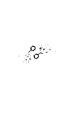 CCC(C)(Oc1ccc(CCN(CP(=O)(OC)OC)CP(=O)(OC)OC)cc1)[PH](=S)N(C)N=Cc1ccc(O)cc1